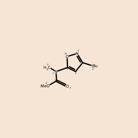 COC(=O)N(C)c1cc(C(C)(C)C)no1